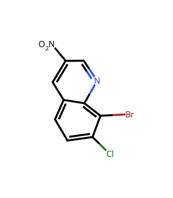 O=[N+]([O-])c1cnc2c(Br)c(Cl)ccc2c1